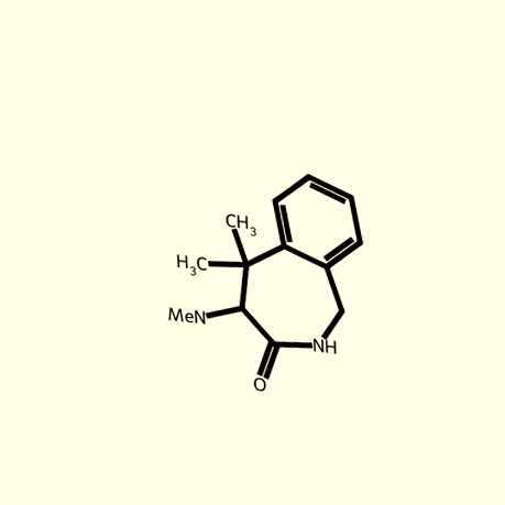 CNC1C(=O)NCc2ccccc2C1(C)C